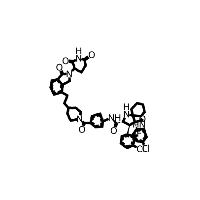 O=C1CCC(N2Cc3c(CCC4CCN(C(=O)c5ccc(NC(=O)[C@@H]6NC7(CCCCC7)[C@@]7(C(=O)Nc8cc(Cl)ccc87)[C@H]6c6cccc(Cl)c6F)cc5)CC4)cccc3C2=O)C(=O)N1